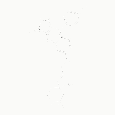 COC1(C=CCOc2ccc3c(-c4ccc(F)cc4)c4c(cc3c2)C(=O)OC4)CCOC(C)C1